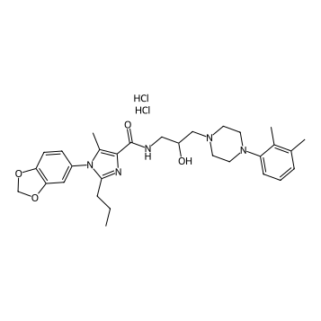 CCCc1nc(C(=O)NCC(O)CN2CCN(c3cccc(C)c3C)CC2)c(C)n1-c1ccc2c(c1)OCO2.Cl.Cl